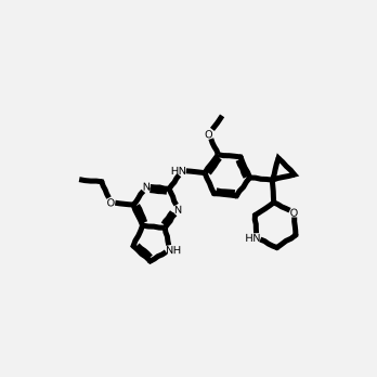 CCOc1nc(Nc2ccc(C3(C4CNCCO4)CC3)cc2OC)nc2[nH]ccc12